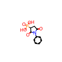 O=C1CC(P(=O)(O)O)C(=O)N1c1ccccc1